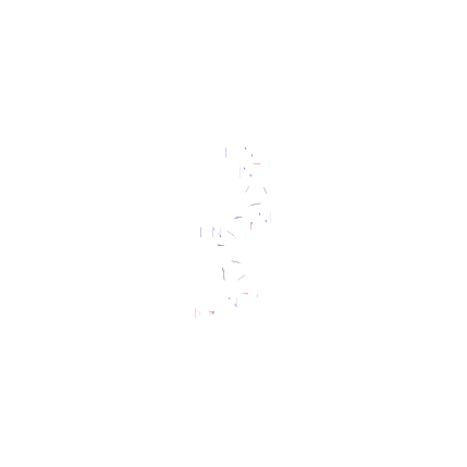 NC(=O)Nc1ccc2c(c1)/C(=C/c1cc(-c3ccc(C(=O)N4CC[C@@H](O)C4)cc3)c[nH]1)C(=O)N2